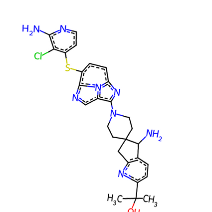 CC(C)(O)c1ccc2c(n1)CC1(CCN(c3nc4ccc(Sc5ccnc(N)c5Cl)c5ncc3n45)CC1)C2N